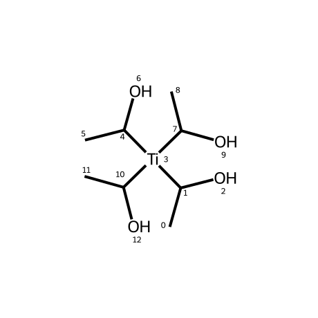 C[CH](O)[Ti]([CH](C)O)([CH](C)O)[CH](C)O